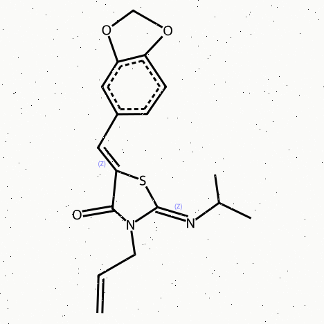 C=CCN1C(=O)/C(=C/c2ccc3c(c2)OCO3)S/C1=N\C(C)C